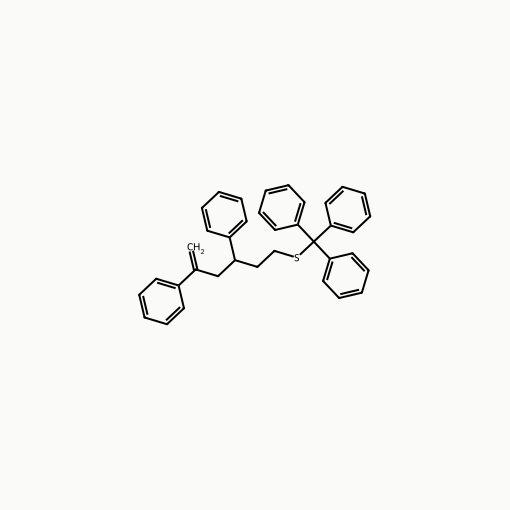 C=C(CC(CCSC(c1ccccc1)(c1ccccc1)c1ccccc1)c1ccccc1)c1ccccc1